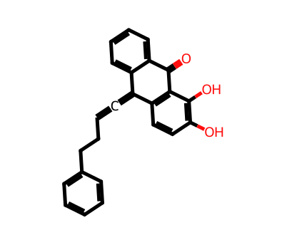 O=C1c2ccccc2C(=C=CCCc2ccccc2)c2ccc(O)c(O)c21